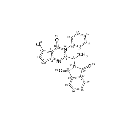 CC(c1nc2scc(Cl)c2c(=O)n1-c1ccccc1)N1C(=O)c2ccccc2C1=O